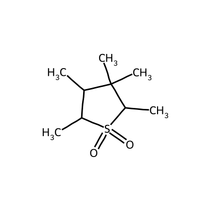 CC1C(C)S(=O)(=O)C(C)C1(C)C